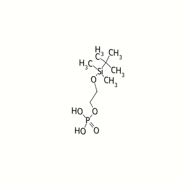 CC(C)(C)[Si](C)(C)OCCOP(=O)(O)O